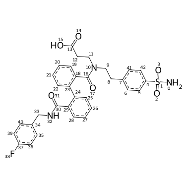 NS(=O)(=O)c1ccc(CCN(CCC(=O)O)C(=O)c2ccccc2-c2ccccc2C(=O)NCc2ccc(F)cc2)cc1